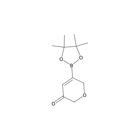 CC1(C)OB(C2=CC(=O)COC2)OC1(C)C